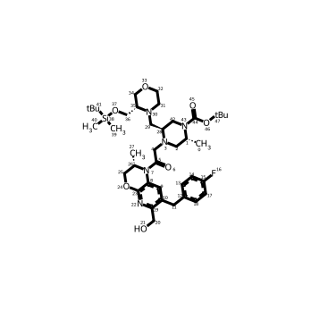 C[C@@H]1CN(CC(=O)N2c3cc(Cc4ccc(F)cc4)c(CO)nc3OC[C@@H]2C)[C@@H](CN2CCOC[C@H]2CO[Si](C)(C)C(C)(C)C)CN1C(=O)OC(C)(C)C